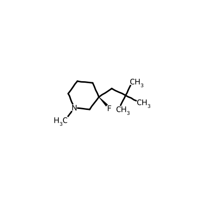 CN1CCC[C@](F)(CC(C)(C)C)C1